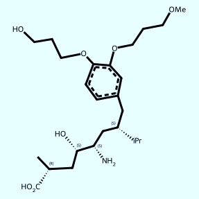 COCCCOc1cc(C[C@@H](C[C@H](N)[C@@H](O)C[C@@H](C)C(=O)O)C(C)C)ccc1OCCCO